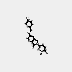 Cn1nc(N2Cc3cc(OCc4ccc(F)cn4)cnc3C2=O)ccc1=O